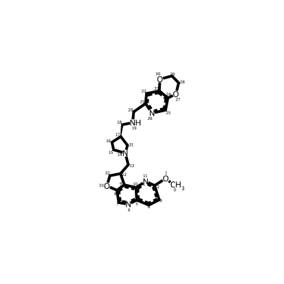 COc1ccc2ncc3c(c2n1)C(CN1CC[C@@H](CNCc2cc4c(cn2)OCCO4)C1)CO3